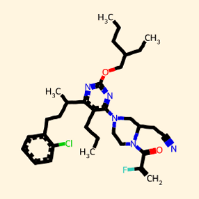 C=C(F)C(=O)N1CCN(c2nc(OCC(CC)CCC)nc(C(C)CCc3ccccc3Cl)c2CCC)CC1CC#N